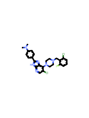 CN(C)c1ccc(-c2nc3c(N4CCN(Cc5c(F)cccc5Cl)CC4)c(Cl)cnc3[nH]2)cc1